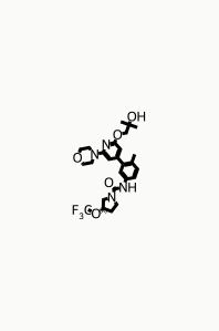 Cc1ccc(NC(=O)N2CC[C@@H](OC(F)(F)F)C2)cc1-c1cc(OCC(C)(C)O)nc(N2CCOCC2)c1